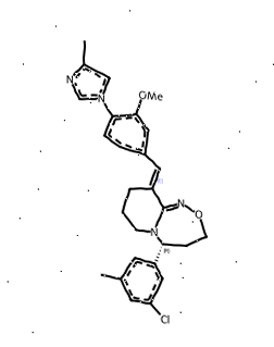 COc1cc(/C=C2\CCCN3C2=NOCC[C@@H]3c2cc(C)cc(Cl)c2)ccc1-n1cnc(C)c1